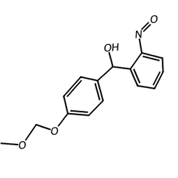 COCOc1ccc(C(O)c2ccccc2N=O)cc1